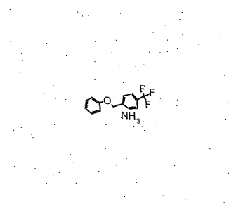 FC(F)(F)c1ccc(COc2ccccc2)cc1.N